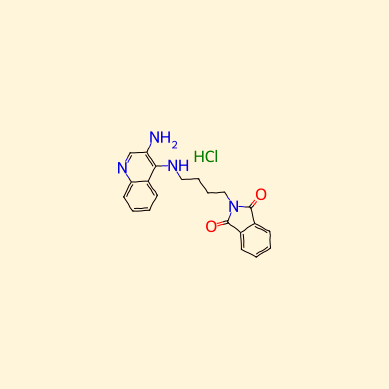 Cl.Nc1cnc2ccccc2c1NCCCCN1C(=O)c2ccccc2C1=O